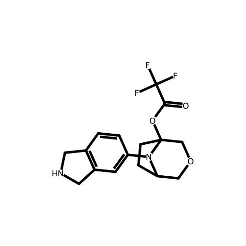 O=C(OC12CCC(COC1)N2c1ccc2c(c1)CNC2)C(F)(F)F